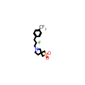 O=S1(=O)CC2(CCN(C[C@@H](F)Cc3ccc(C(F)(F)F)cc3)C2)C1